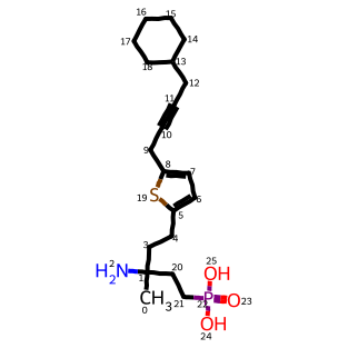 CC(N)(CCc1ccc(CC#CCC2CCCCC2)s1)CCP(=O)(O)O